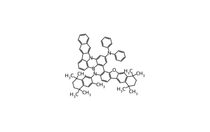 Cc1cc2c(cc1N1B3c4c(cc(N(c5ccccc5)c5ccccc5)cc4-n4c5cc6ccccc6cc5c5cccc3c54)-c3c1ccc1c3oc3cc4c(cc31)C(C)(C)CCC4(C)C)C(C)(C)CCC2(C)C